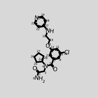 NC(=O)CN(C(=O)c1cc(Cl)cc(OCCNc2ccncc2)c1)C1CCCC1